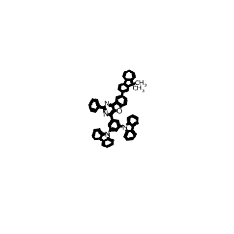 CC1(C)C2=C(C=CCC=C2)c2ccc(-c3ccc4oc5c(-c6cc(-n7c8ccccc8c8ccccc87)cc(-n7c8ccccc8c8ccccc87)c6)nc(-c6ccccc6)nc5c4c3)cc21